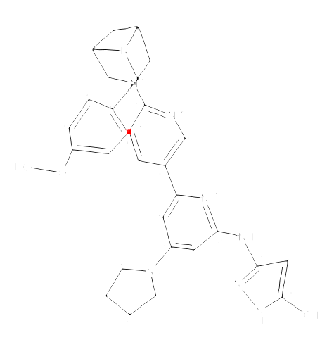 COc1ccc(CN2C3CC2CN(c2ccc(-c4cc(N5CCCC5)cc(Nc5cc(C)[nH]n5)n4)cn2)C3)cc1